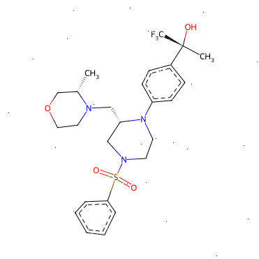 C[C@H]1COCCN1C[C@H]1CN(S(=O)(=O)c2ccccc2)CCN1c1ccc([C@@](C)(O)C(F)(F)F)cc1